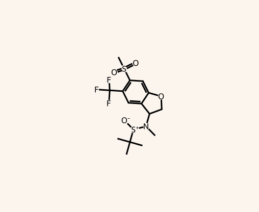 CN(C1COc2cc(S(C)(=O)=O)c(C(F)(F)F)cc21)[S+]([O-])C(C)(C)C